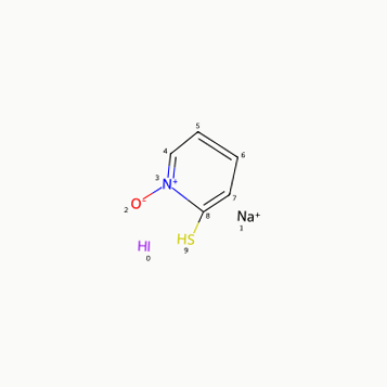 I.[Na+].[O-][n+]1ccccc1S